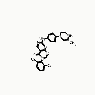 C[C@@H]1CN(c2ccc(Nc3ncc4c(n3)OCN(c3c(Cl)cccc3Cl)C4=O)cc2)CCN1